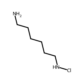 NCCCCCCNCl